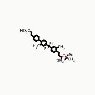 CCC(CC)(c1ccc(CCC(O[Si](C)(C)C(C)(C)C)C(C)(C)C)c(C)c1)c1ccc(-c2ccc(CCC(=O)O)cc2)c(C)c1